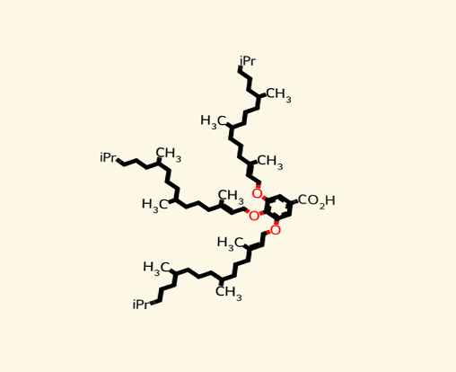 C/C(=C\COc1cc(C(=O)O)cc(OC/C=C(\C)CCCC(C)CCCC(C)CCCC(C)C)c1OC/C=C(\C)CCCC(C)CCCC(C)CCCC(C)C)CCCC(C)CCCC(C)CCCC(C)C